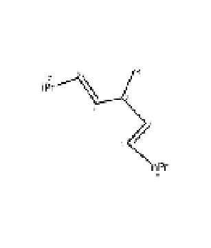 CCCC=CC(C)C=CC(C)C